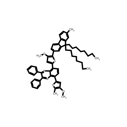 CCCCCCCCC1(CCCCCCCC)c2cc(C)ccc2-c2ccc(-c3sc(-c4ccc(-c5cc(OC)c(C)s5)c5nc(-c6ccccc6)c(-c6ccccc6)nc45)cc3OC)cc21